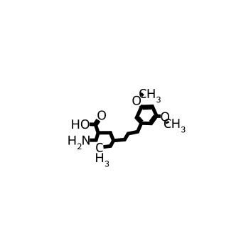 CCC(CCCc1cc(OC)cc(OC)c1)CC(CN)C(=O)O